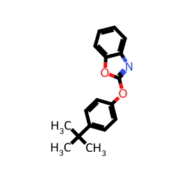 CC(C)(C)c1ccc(Oc2nc3ccccc3o2)cc1